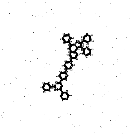 c1ccc(-c2cc(-c3ccc(-c4ccc(-c5ccc6c(c5)cc(-c5ccccc5)n5nc(-c7ccccc7)c(-c7ccccc7)c65)cc4)cc3)nc(-c3ccccc3)n2)cc1